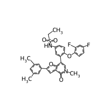 CCS(=O)(=O)Nc1ccc(Oc2ccc(F)cc2F)c(-c2cn(C)c(=O)c3cc(-c4cc(C)cc(C)c4)oc23)c1